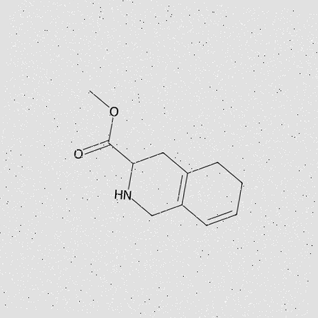 COC(=O)C1CC2=C(C=CCC2)CN1